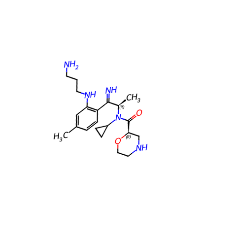 Cc1ccc(C(=N)[C@@H](C)N(C(=O)[C@H]2CNCCO2)C2CC2)c(NCCCN)c1